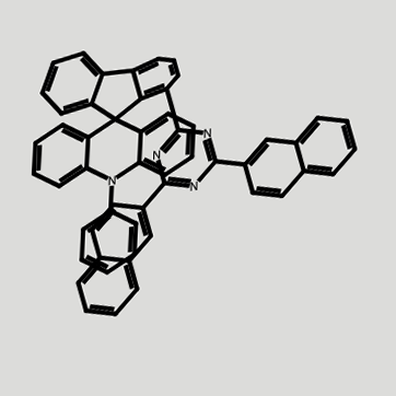 c1ccc(N2c3ccccc3C3(c4ccccc4-c4cccc(-c5nc(-c6ccc7ccccc7c6)nc(-c6ccc7ccccc7c6)n5)c43)c3ccccc32)cc1